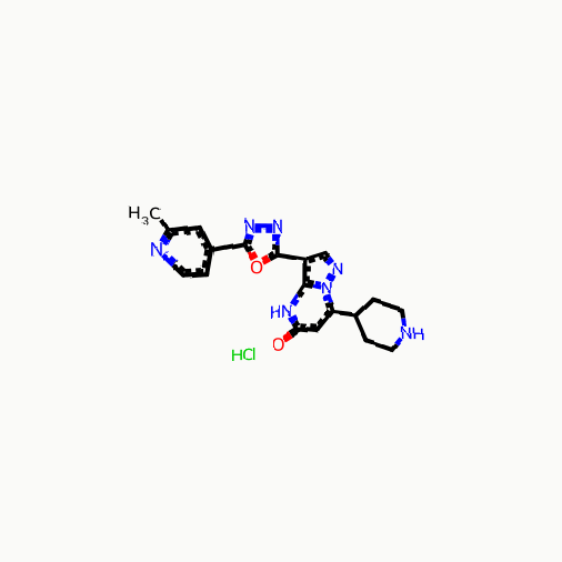 Cc1cc(-c2nnc(-c3cnn4c(C5CCNCC5)cc(=O)[nH]c34)o2)ccn1.Cl